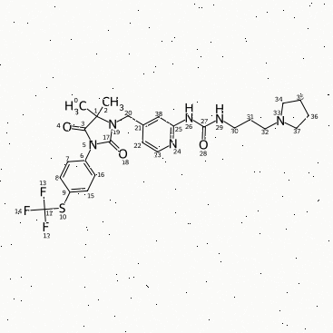 CC1(C)C(=O)N(c2ccc(SC(F)(F)F)cc2)C(=O)N1Cc1ccnc(NC(=O)NCCCN2CCCC2)c1